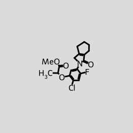 COC(=O)C(C)Oc1cc(N2CC3=C(CCCC3)C2=O)c(F)cc1Cl